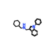 c1ccc(-n2cc(CNCC3CCCCC3)c3ccccc32)cc1